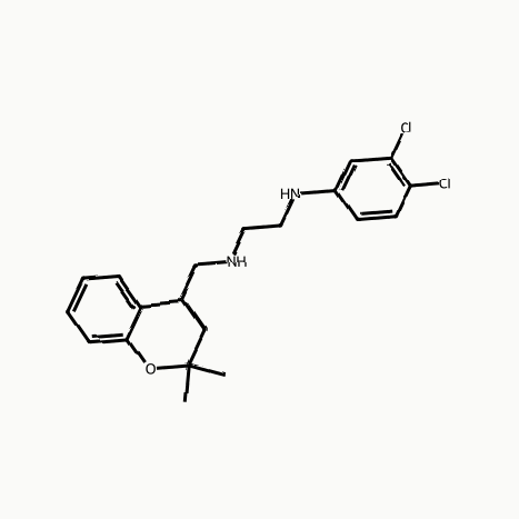 CC1(C)CC(CNCCNc2ccc(Cl)c(Cl)c2)c2ccccc2O1